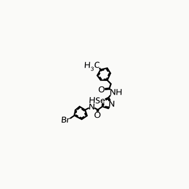 Cc1ccc(CC(=O)Nc2ncc(C(=O)Nc3ccc(Br)cc3)[se]2)cc1